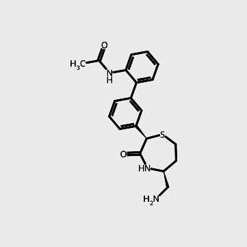 CC(=O)Nc1ccccc1-c1cccc([C@H]2SCC[C@@H](CN)NC2=O)c1